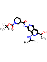 CC(C)Nc1nc([C@@H](C)O)cc2cnc(NC(=O)C3CCCN(C(=O)OC(C)(C)C)C3)cc12